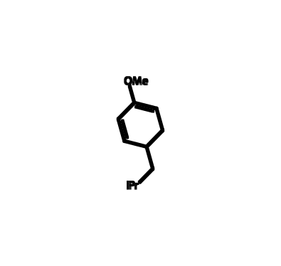 COC1=CCC(CC(C)C)C=C1